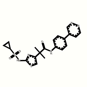 CC(C)(C(=O)Nc1ccc(-c2ccnnc2)cc1)c1csc(NS(=O)(=O)C2CC2)n1